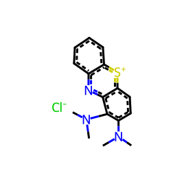 CN(C)c1ccc2[s+]c3ccccc3nc2c1N(C)C.[Cl-]